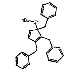 CCC[CH2][Zr][C]1(Cc2ccccc2)C=CC(Cc2ccccc2)=C1Cc1ccccc1